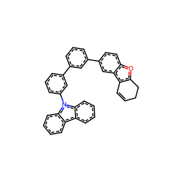 C1=Cc2c(oc3ccc(-c4cccc(-c5cccc(-n6c7ccccc7c7ccccc76)c5)c4)cc23)CC1